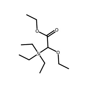 CCOC(=O)C(OCC)[Si](CC)(CC)CC